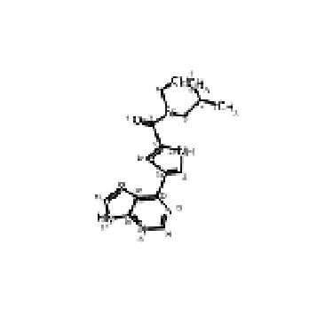 CCN(CC(C)C)C(=O)c1cc(-c2ncnc3[nH]ccc23)c[nH]1